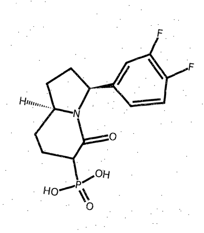 O=C1C(P(=O)(O)O)CC[C@H]2CC[C@@H](c3ccc(F)c(F)c3)N12